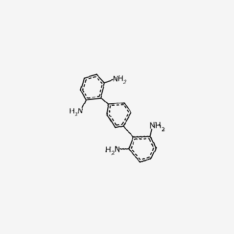 Nc1cccc(N)c1-c1ccc(-c2c(N)cccc2N)cc1